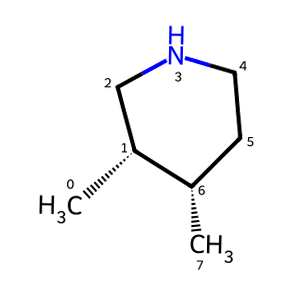 C[C@@H]1CNCC[C@@H]1C